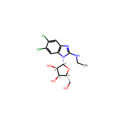 N#CCNc1nc2cc(Cl)c(Cl)cc2n1[C@@H]1O[C@H](CO)[C@@H](O)[C@H]1O